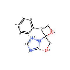 OCC1(n2cncn2)OCC1c1ccccc1